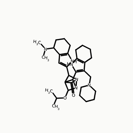 CC(C)OC1N2C(c3[nH]c4c(c3CN3CCCCC3)CCCC4)C13C(=O)N2C3c1cc2c([nH]1)CCCC2N(C)C